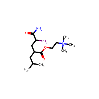 CC(C)CC(CC(P)C(N)=O)C(=O)OCC[N+](C)(C)C